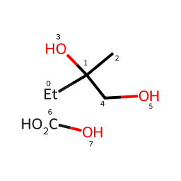 CCC(C)(O)CO.O=C(O)O